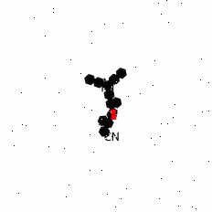 N#Cc1cccc(-c2ccc(C34CC5CC(C3)C(c3ccc(-c6ccc(-c7nc(-c8ccc(-c9ccccc9)cc8)nc(-c8ccc(-c9ccccc9)cc8)n7)cc6)c6ccccc36)(C5)C4)c3ccccc23)c1